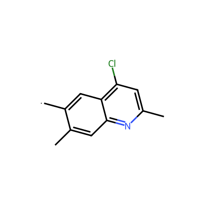 [CH2]c1cc2c(Cl)cc(C)nc2cc1C